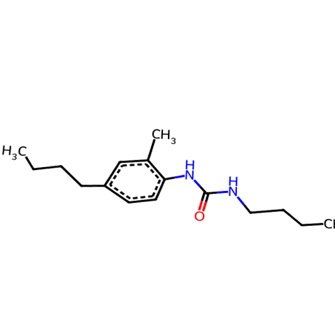 CCCCNC(=O)Nc1ccc(CCCC)cc1C